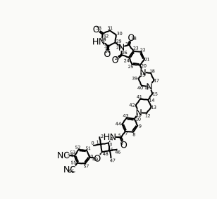 CC1(C)[C@H](NC(=O)c2ccc(N3CCC(CN4CCN(c5ccc6c(c5)C(=O)N(C5CCC(=O)NC5=O)C6=O)CC4)CC3)cc2)C(C)(C)[C@H]1Oc1ccc(C#N)c(C#N)c1